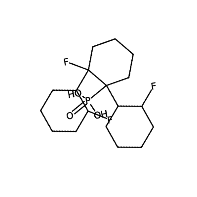 O=P(O)(O)C1(C2CCCCC2F)CCCCC1(F)C1CCCCC1F